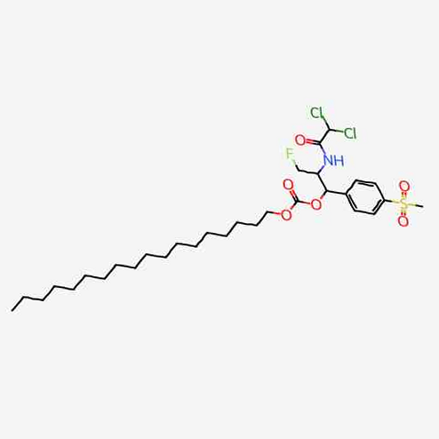 CCCCCCCCCCCCCCCCCCOC(=O)OC(c1ccc(S(C)(=O)=O)cc1)C(CF)NC(=O)C(Cl)Cl